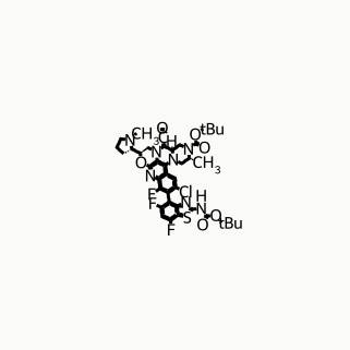 C[C@@H]1CN2c3c4c(nc5c(F)c(-c6c(F)cc(F)c7sc(NC(=O)OC(C)(C)C)nc67)c(Cl)cc35)O[C@@H]([C@@H]3CCCN3C)CN4C(=C=O)[C@H]2CN1C(=O)OC(C)(C)C